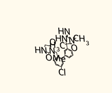 COC1NCC(=O)N1Cc1ccc(Cl)cc1-c1cccc(C2(C)NC(=N)N(C)C2=O)c1